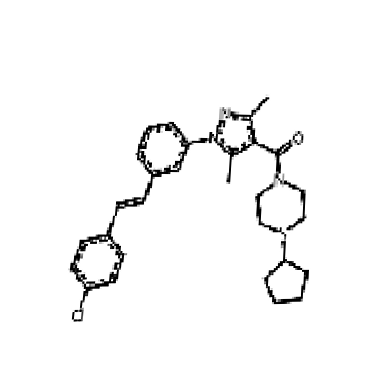 Cc1nn(-c2cccc(/C=C/c3ccc(Cl)cc3)c2)c(C)c1C(=O)N1CCN(C2CCCC2)CC1